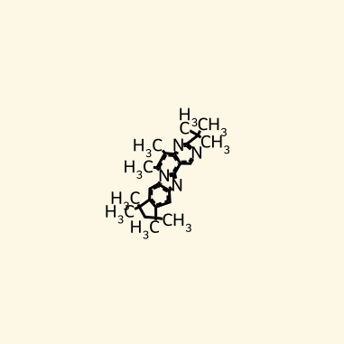 Cc1c(C)n2c3cc4c(cc3nc2c2cnc(C(C)(C)C)nc12)C(C)(C)CC4(C)C